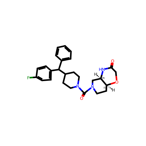 O=C1CO[C@H]2CCN(C(=O)N3CCC(C(c4ccccc4)c4ccc(F)cc4)CC3)C[C@H]2N1